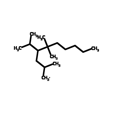 [CH2]C(C)CC(C(C)C)C(C)(C)CCCCC